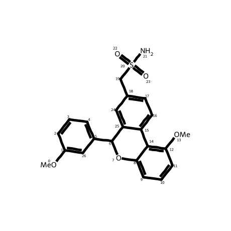 COc1cccc(C2Oc3cccc(OC)c3-c3ccc(CS(N)(=O)=O)cc32)c1